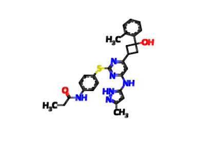 CCC(=O)Nc1ccc(Sc2nc(Nc3cc(C)n[nH]3)cc(C3CC(O)(c4ccccc4C)C3)n2)cc1